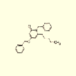 C=CCCCc1cc(OCc2ccccc2)cc(=O)n1Cc1ccccc1